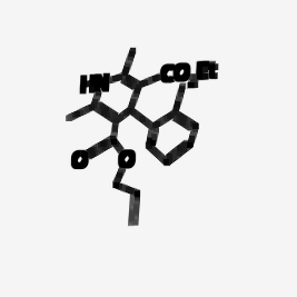 C=CCOC(=O)C1=C(C)NC(C)=C(C(=O)OCC)C1c1ccccc1C